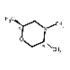 C[C@@H]1CO[C@@H](C)CN1C